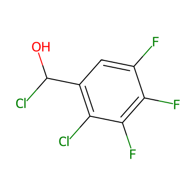 OC(Cl)c1cc(F)c(F)c(F)c1Cl